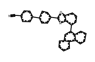 N#Cc1ccc(-c2ccc(-c3nc4c(-c5cc6ccccc6c6ccccc56)cccc4o3)cc2)cc1